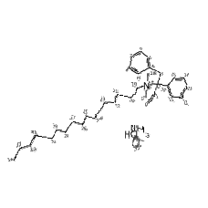 C=CC(Cc1ccccc1)(c1ccccc1)[N+](C)(C)CCCCCCCCCCCCCCCC.Cl.N.[Cl-]